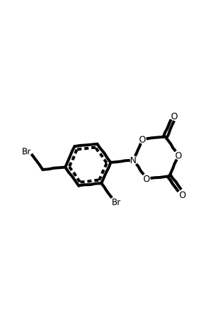 O=C1OC(=O)ON(c2ccc(CBr)cc2Br)O1